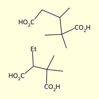 CC(CC(=O)O)C(C)(C)C(=O)O.CCC(C(=O)O)C(C)(C)C(=O)O